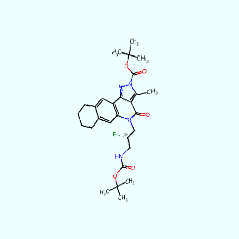 Cc1c2c(=O)n(C[C@@H](F)CNC(=O)OC(C)(C)C)c3cc4c(cc3c2nn1C(=O)OC(C)(C)C)CCCC4